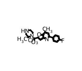 Cc1cc(-c2ccc(F)cc2)nc2cc(C(=O)N3CCNCC3(C)C)oc12